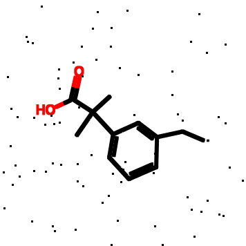 [CH2]Cc1cccc(C(C)(C)C(=O)O)c1